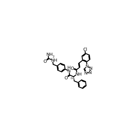 NC(=O)NCc1ccc(NC(=O)[C@H](Cc2ccccc2)NC(=O)C=Cc2cc(Cl)ccc2-n2cnnn2)cc1